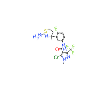 Cn1nc(C(F)(F)F)c(C(=O)Nc2ccc(F)c(C3(C)CCSC(N)=N3)c2)c1Cl